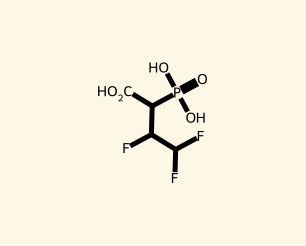 O=C(O)C(C(F)C(F)F)P(=O)(O)O